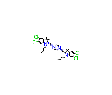 CCCC[N+]1=C(/C=C/N2CCN(/C=C/C3=[N+](CCCC)c4cc(Cl)c(Cl)cc4C3(C)C)CC2)C(C)(C)c2cc(Cl)c(Cl)cc21